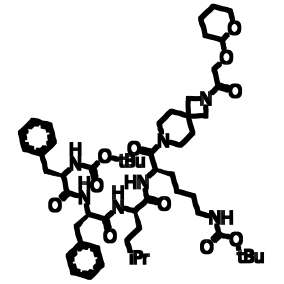 CC(C)CC[C@@H](NC(=O)[C@@H](Cc1ccccc1)NC(=O)[C@@H](Cc1ccccc1)NC(=O)OC(C)(C)C)C(=O)N[C@H](CCCCNC(=O)OC(C)(C)C)C(=O)N1CCC2(CC1)CN(C(=O)COC1CCCCO1)C2